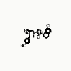 N#Cc1ccc(Cn2cncc2CN[C@H]2CCN([C@@H]3CCCc4ccc(Cl)cc43)C2=O)cc1